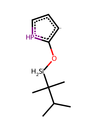 CC(C)C(C)(C)[SiH2]Oc1[c]cc[pH]1